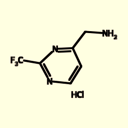 Cl.NCc1ccnc(C(F)(F)F)n1